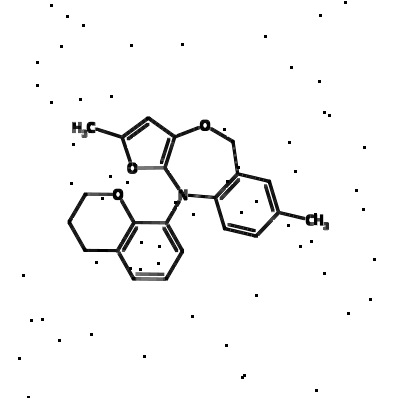 Cc1ccc2c(c1)COc1cc(C)oc1N2c1cccc2c1OCCC2